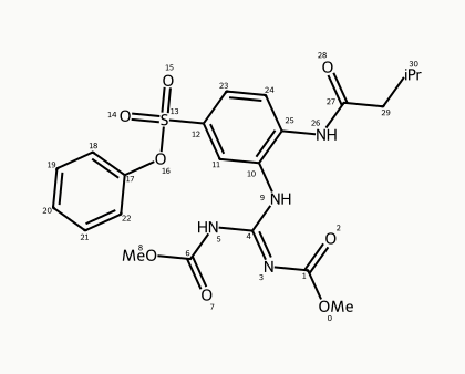 COC(=O)N=C(NC(=O)OC)Nc1cc(S(=O)(=O)Oc2ccccc2)ccc1NC(=O)CC(C)C